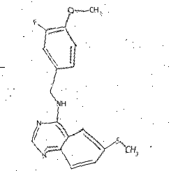 COc1ccc(CNc2ncnc3ccc(SC)cc23)cc1F